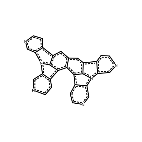 c1cc2c3cc4cc5c6ccncc6n6c7cnccc7c(c4c4c7ccncc7n(c2cn1)c34)c56